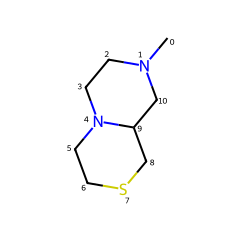 CN1CCN2CCSCC2C1